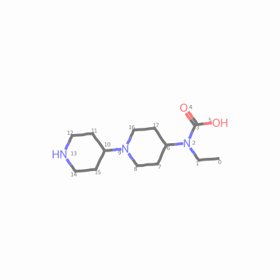 CCN(C(=O)O)C1CCN(C2CCNCC2)CC1